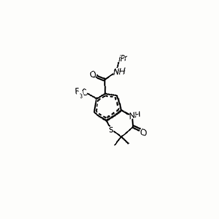 CC(C)NC(=O)c1cc2c(cc1C(F)(F)F)SC(C)(C)C(=O)N2